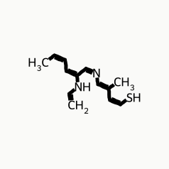 C=CNC(/C=N\C=C(C)\C=C/S)=C/C=C\C